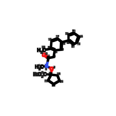 CCOC(=O)C1(ON(C)C(=O)Cc2cc(-c3ccccc3)ccc2C)CCCC1